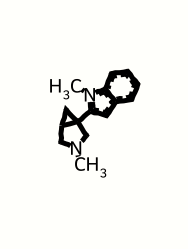 CN1CC2CC2(c2cc3ccccc3n2C)C1